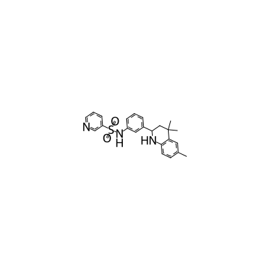 Cc1ccc2c(c1)C(C)(C)CC(c1cccc(NS(=O)(=O)c3cccnc3)c1)N2